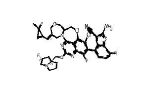 CC1(F)CC1/C=C1\COCC2COc3c(Cl)c(-c4ccc(F)c5sc(N)c(C#N)c45)c(F)c4nc(OC[C@@]56CCCN5C[C@H](F)C6)nc(c34)N2C1